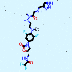 CCN(CCNN(C)C(=O)CNCc1c[nH]nn1)c1c(F)cc(N2C[C@H](CNC(=O)C(F)F)OC2=O)cc1F